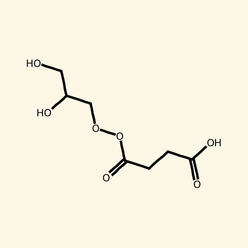 O=C(O)CCC(=O)OOCC(O)CO